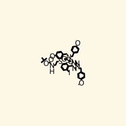 COc1ccc(CN(Cc2ccc(OC)cc2)S(=O)(=O)c2c(SCCNC(=O)OC(C)(C)C)ccc(I)c2-c2nnn(Cc3ccc(OC)cc3)n2)cc1